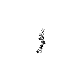 CC[C@@]1(C)CN(C(=O)OCC[Si](C)(C)C)CCN1c1cc(C)n(C2CC3(C2)CN(C(=O)OC(C)(C)C)C3)n1